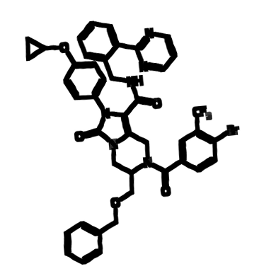 O=C(NCc1ccccc1-c1ncccn1)c1c2n(c(=O)n1-c1ccc(OC3CC3)cc1)CC(COCc1ccccc1)N(C(=O)c1ccc(Br)c(C(F)(F)F)c1)C2